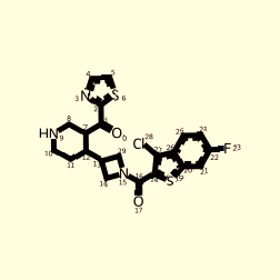 O=C(c1nccs1)C1CNCCC1C1CN(C(=O)c2sc3cc(F)ccc3c2Cl)C1